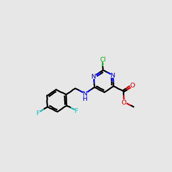 COC(=O)c1cc(NCc2ccc(F)cc2F)nc(Cl)n1